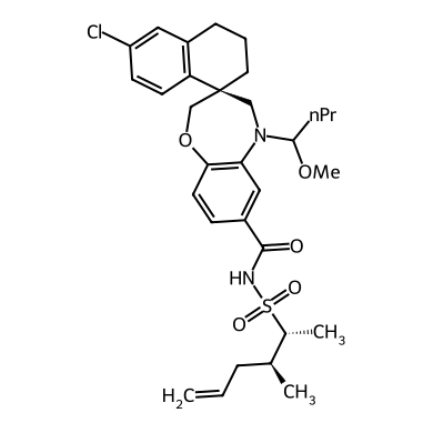 C=CC[C@H](C)[C@@H](C)S(=O)(=O)NC(=O)c1ccc2c(c1)N(C(CCC)OC)C[C@@]1(CCCc3cc(Cl)ccc31)CO2